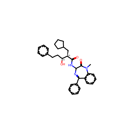 CN1C(=O)C(NC(=O)[C@H](CC2CCCC2)[C@@H](O)CCc2ccccc2)N=C(c2ccccc2)c2ccccc21